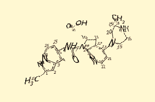 Cc1cc2cc(NC(=O)N3CCc4c(N5CCN[C@@H](C)C5)ccnc43)ccn2n1.O=CO